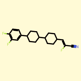 N#CC(F)=CC1CCC(C2CCC(c3ccc(F)c(F)c3)CC2)CC1